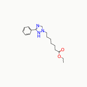 CCOC(=O)CCCCCCN1CN=C(c2ccccc2)N1